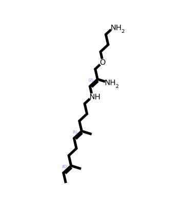 C/C=C(\C)CC/C=C(\C)CCCN/C=C(\N)COCCCN